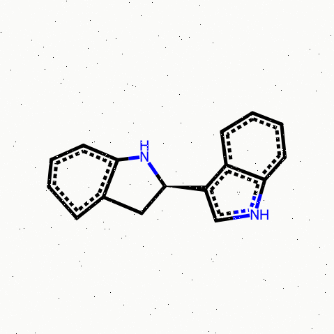 c1ccc2c(c1)C[C@H](c1c[nH]c3ccccc13)N2